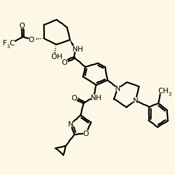 Cc1ccccc1N1CCN(c2ccc(C(=O)N[C@@H]3CCC[C@@H](OC(=O)C(F)(F)F)[C@H]3O)cc2NC(=O)c2coc(C3CC3)n2)CC1